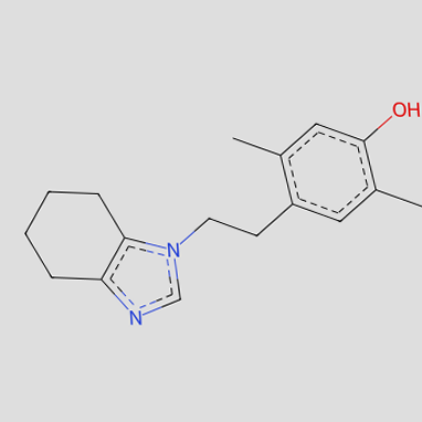 Cc1cc(CCn2cnc3c2CCCC3)c(C)cc1O